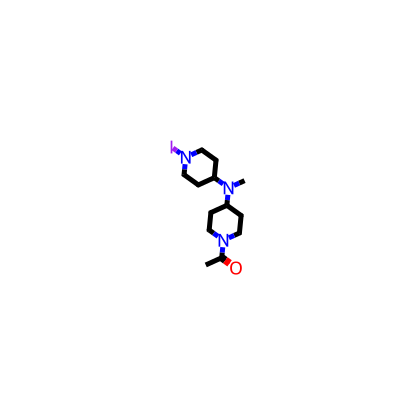 CC(=O)N1CCC(N(C)C2CCN(I)CC2)CC1